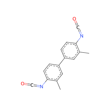 Cc1cc(-c2ccc(N=C=O)c(C)c2)ccc1N=C=O